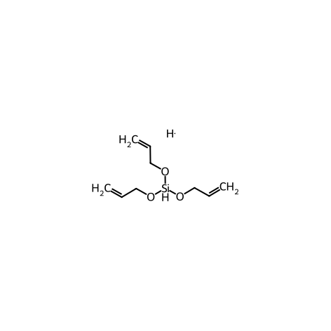 C=CCO[SiH](OCC=C)OCC=C.[H]